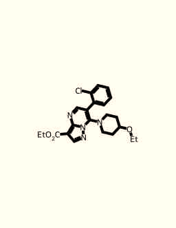 CCOC(=O)c1cnn2c(N3CCC(OCC)CC3)c(-c3ccccc3Cl)cnc12